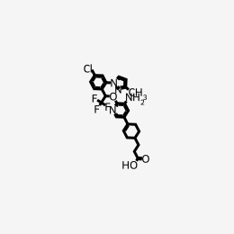 Cc1ccn(-c2cc(Cl)ccc2C(Oc2ncc(C3=CCC(CCC(=O)O)CC3)cc2N)C(F)(F)F)n1